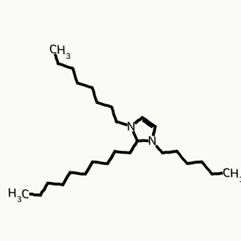 CCCCCCCCCCC1N(CCCCCC)C=CN1CCCCCCCC